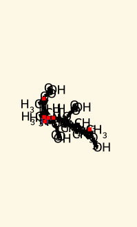 Cc1cc(OCCSO)ccc1N=Nc1cc(C)c(N=Nc2cc(OCCCCS(=O)(=O)O)c(NC(=O)Nc3cc(C)c(/N=N\c4cc(C)c(N=Nc5ccc(OCCS(=O)(=O)O)cc5C)cc4C)cc3OCCCCS(=O)(=O)O)cc2C)cc1C